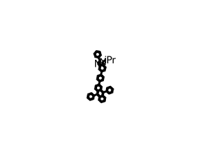 CC(C)n1c(-c2ccccc2)nc2cc(-c3ccc(-c4ccc5c(-c6ccccc6)c6ccccc6c(-c6ccccc6)c5c4)cc3)ccc21